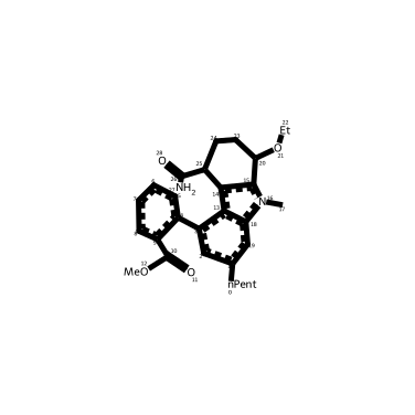 CCCCCc1cc(-c2ccccc2C(=O)OC)c2c3c(n(C)c2c1)C(OCC)CCC3C(N)=O